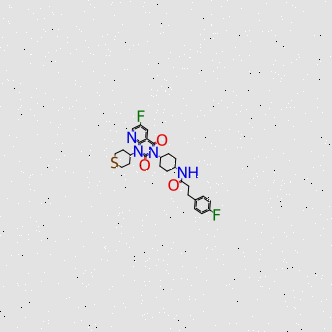 O=C(CCc1ccc(F)cc1)N[C@H]1CC[C@@H](n2c(=O)c3cc(F)cnc3n(C3CCSCC3)c2=O)CC1